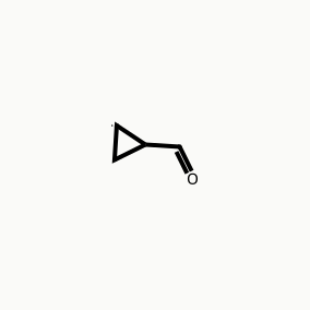 O=CC1[CH]C1